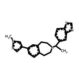 CC(c1ccc2scnc2c1)N1CCc2ccc(-c3cnn(C)c3)cc2CC1